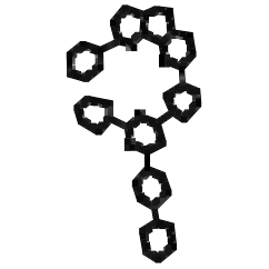 c1ccc(-c2ccc(-c3cc(-c4cccc(-c5ccc6ccc7ccc(-c8ccccc8)nc7c6n5)c4)nc(-c4ccccc4)n3)cc2)cc1